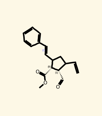 C=CC1CC(/C=C/c2ccccc2)[C@@H](C(=O)OC)[C@H]1C=O